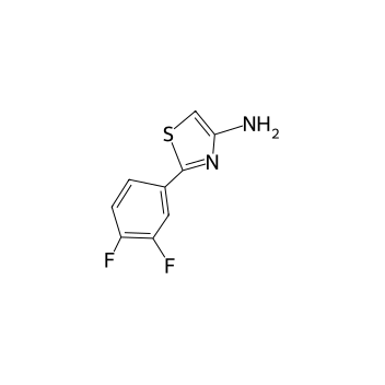 Nc1csc(-c2ccc(F)c(F)c2)n1